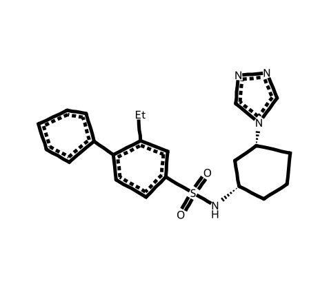 CCc1cc(S(=O)(=O)N[C@H]2CCC[C@@H](n3cnnc3)C2)ccc1-c1ccccc1